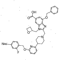 N#Cc1ccc(COc2cccc(C3CCN(Cc4nc5c(OCc6ccccc6)cc(C(=O)O)cc5n4CC4CCO4)CC3)n2)c(F)c1